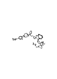 Cc1c(OC2c3ccccc3CC2OCCC(=O)N2CCN(c3ccc(C#N)cn3)CC2)cn[nH]c1=O